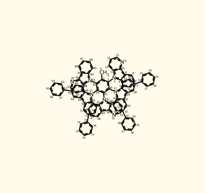 Cc1c(-n2c3ccccc3c3ncccc32)c(-n2c3ccc(-c4ccccc4)cc3c3cc(-c4ccccc4)ccc32)c(-n2c3ccccc3c3ncccc32)c(-n2c3ccc(-c4ccccc4)cc3c3cc(-c4ccccc4)ccc32)c1-n1c2ccccc2c2ncccc21